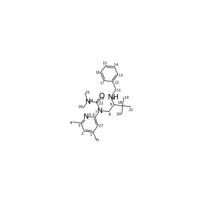 Cc1cc(C)nc(N(CC(NCc2ccccc2)C(C)(C)C)C(=O)N(C)C)c1